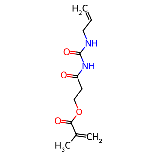 C=CCNC(=O)NC(=O)CCOC(=O)C(=C)C